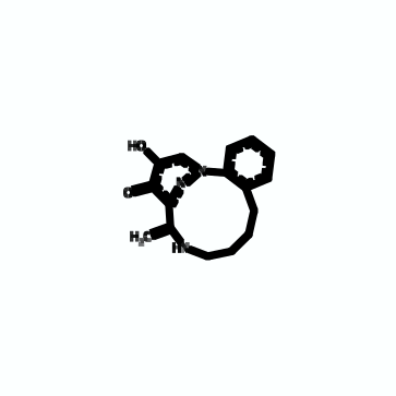 C=C1NCCCCc2ccccc2-n2cc(O)c(=O)c1n2